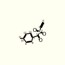 C#CS(=O)(=O)C(=O)c1ccc(C)cc1